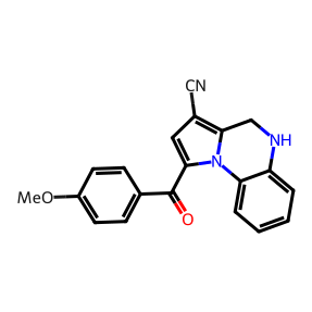 COc1ccc(C(=O)c2cc(C#N)c3n2-c2ccccc2NC3)cc1